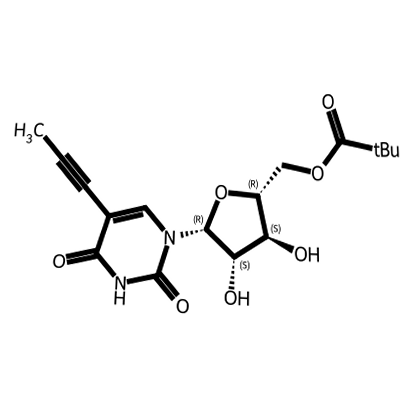 CC#Cc1cn([C@@H]2O[C@H](COC(=O)C(C)(C)C)[C@@H](O)[C@@H]2O)c(=O)[nH]c1=O